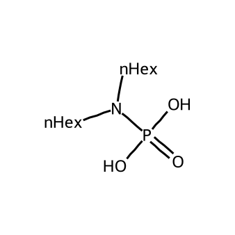 CCCCCCN(CCCCCC)P(=O)(O)O